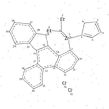 CC[C](CC)=[Zr+2]([C]1=CC=CC1)[c]1cccc2c1c1c(c3ccccc32)-c2ccccc2C1.[Cl-].[Cl-]